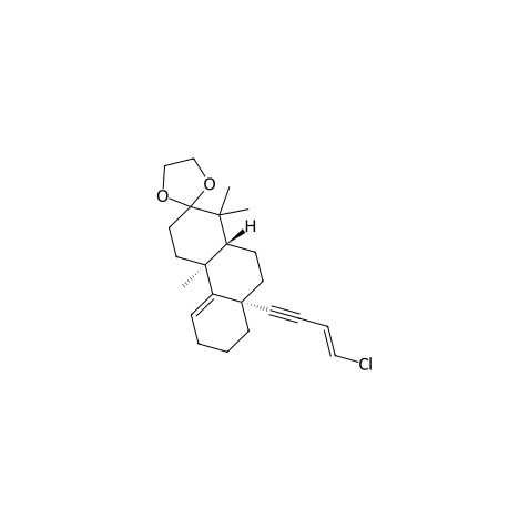 CC1(C)[C@@H]2CC[C@@]3(C#C/C=C/Cl)CCCC=C3[C@@]2(C)CCC12OCCO2